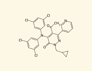 CC(=O)c1c(-c2cccnc2)nn(CC2CC2)c(=O)c1N(c1cc(Cl)cc(Cl)c1)c1cc(Cl)cc(Cl)c1